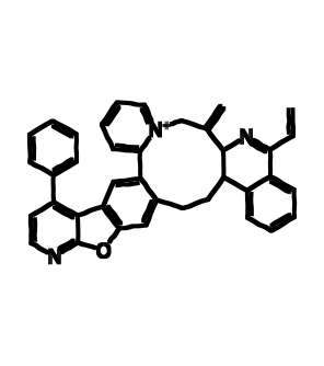 C=CC1=NC2C(=C)C[n+]3ccccc3-c3cc4c(cc3CCC2c2ccccc21)oc1nccc(-c2ccccc2)c14